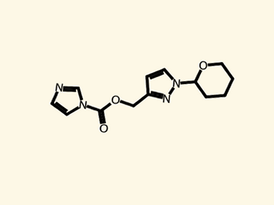 O=C(OCc1ccn(C2CCCCO2)n1)n1ccnc1